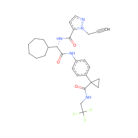 C#CCn1nccc1C(=O)N[C@H](C(=O)Nc1ccc(C2(C(=O)NCC(F)(F)F)CC2)cc1)C1CCCCCC1